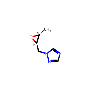 C[C@H]1O[C@@H]1Cn1cncn1